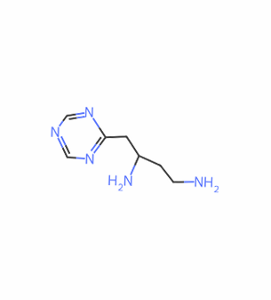 NCCC(N)Cc1ncncn1